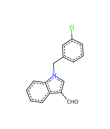 O=Cc1cn(Cc2cccc(Cl)c2)c2cc[c]cc12